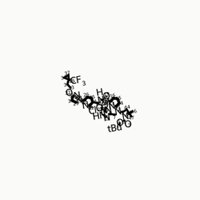 CC(C)(C)OC(=O)N1C(N(Cc2nn[nH]n2)c2cccc(S(=O)(=O)NC(=O)c3ccc(-n4ccc(OCCC5(C(F)(F)F)CC5)n4)nc3Cl)n2)CC1(C)C